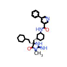 CN1C(=N)N[C@](CCC2CCCCC2)(C[C@H]2CCCC(NC(=O)c3cncc(-c4ccccc4)c3)C2)C1=O